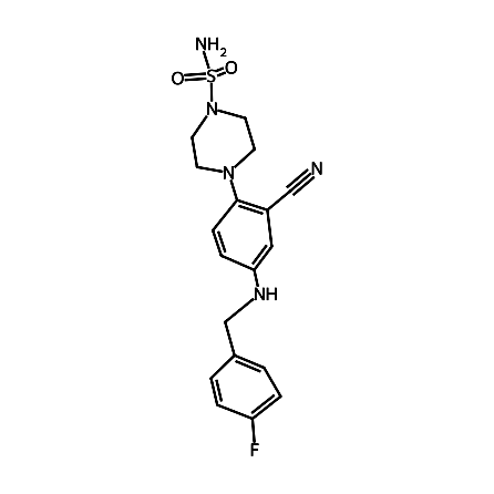 N#Cc1cc(NCc2ccc(F)cc2)ccc1N1CCN(S(N)(=O)=O)CC1